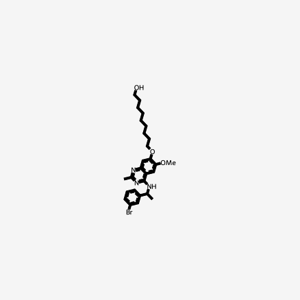 COc1cc2c(NC(C)c3cccc(Br)c3)nc(C)nc2cc1OCCCCCCCCCO